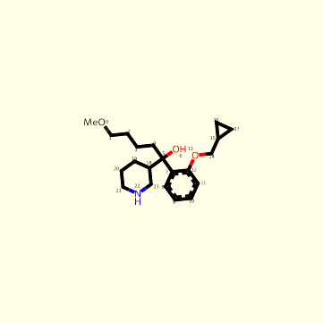 COCCCCC(O)(c1ccccc1OCC1CC1)C1CCCNC1